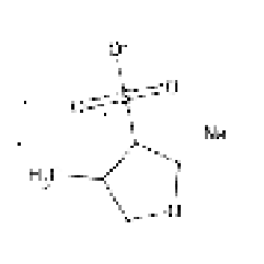 CC1COCC1S(=O)(=O)[O-].[Na+]